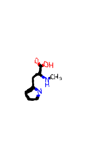 CNC(CC1=CCC=N1)C(=O)O